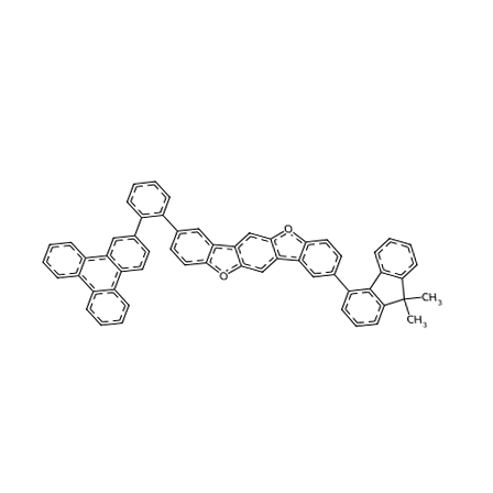 CC1(C)c2ccccc2-c2c(-c3ccc4oc5cc6c(cc5c4c3)oc3ccc(-c4ccccc4-c4ccc5c7ccccc7c7ccccc7c5c4)cc36)cccc21